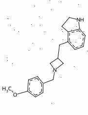 COc1ccc(CN2CC(Cc3cccc4c3CCN4)C2)cc1